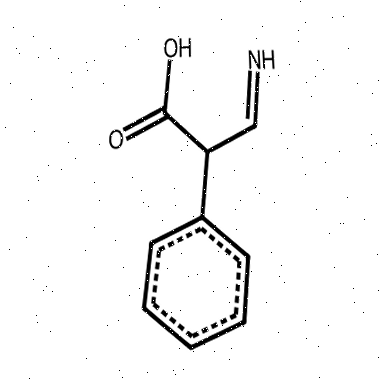 N=CC(C(=O)O)c1ccccc1